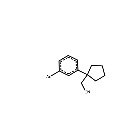 CC(=O)c1cccc(C2(CC#N)CCCC2)c1